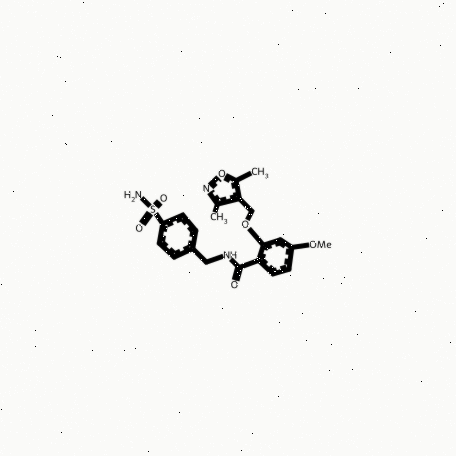 COc1ccc(C(=O)NCc2ccc(S(N)(=O)=O)cc2)c(OCc2c(C)noc2C)c1